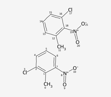 Cc1c(Cl)cccc1[N+](=O)[O-].Cc1cccc(Cl)c1[N+](=O)[O-]